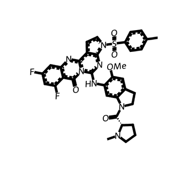 COc1cc2c(cc1Nc1nc3c(ccn3S(=O)(=O)c3ccc(C)cc3)c3nc4cc(F)cc(F)c4c(=O)n13)N(C(=O)[C@@H]1CCCN1C)CC2